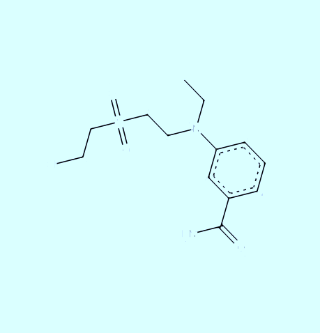 CCN(CCS(=O)(=O)CCCl)c1cccc(C(N)=O)c1